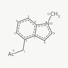 CC(=O)Cc1cccc2c1ccn2C